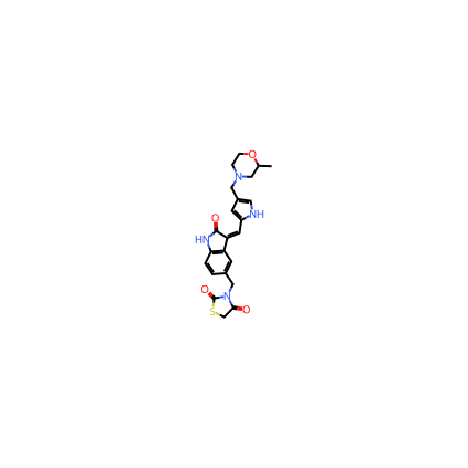 CC1CN(Cc2c[nH]c(/C=C3\C(=O)Nc4ccc(CN5C(=O)CSC5=O)cc43)c2)CCO1